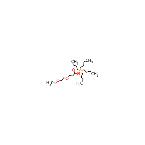 CCCCP(CCCC)(CCCC)(CCCC)OC(=O)CCOCCOCC